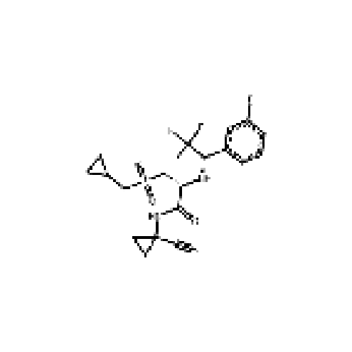 N#CC1(NC(=O)[C@H](CS(=O)(=O)CC2CC2)N[C@@H](c2cccc(F)c2)C(F)(F)F)CC1